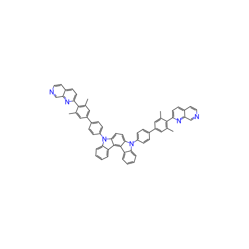 Cc1cc(-c2ccc(-n3c4ccccc4c4c5c6ccccc6n(-c6ccc(-c7cc(C)c(-c8ccc9ccncc9n8)c(C)c7)cc6)c5ccc43)cc2)cc(C)c1-c1ccc2ccncc2n1